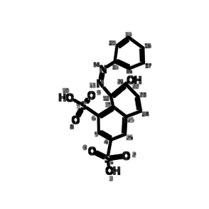 O=S(=O)(O)c1cc(S(=O)(=O)O)c2c(/N=N\c3ccccc3)c(O)ccc2c1